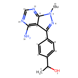 CC(O)c1ccc(-c2nn(C(C)(C)C)c3ncnc(N)c23)cc1